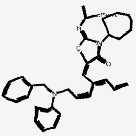 C=C/C=C(\C=C/CN(Cc1ccccc1)c1ccccc1)/C=C1/O/C(=N/C(C)CCCCC)N(C2CCCCC2)C1=O